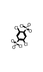 O=S(=O)(Cl)c1cc(Cl)c(S(=O)(=O)Cl)cc1Cl